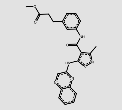 COC(=O)CCc1cccc(NC(=O)c2c(C)nsc2Nc2cnc3ccccc3n2)c1